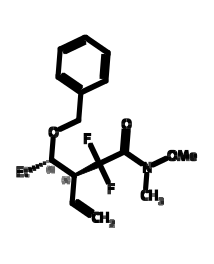 C=C[C@@H]([C@H](CC)OCc1ccccc1)C(F)(F)C(=O)N(C)OC